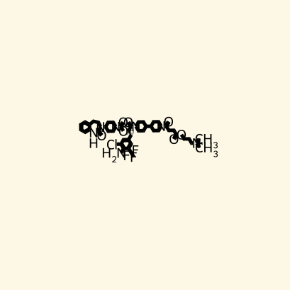 CN(C)CCCOC(=O)CCC(=O)N1CCC(C2CCN(C(=O)[C@@H](Cc3cc(Cl)c(N)c(C(F)(F)F)c3)OC(=O)N3CCC(N4CCc5ccccc5NC4=O)CC3)CC2)CC1